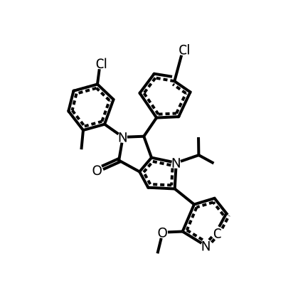 COc1ncccc1-c1cc2c(n1C(C)C)C(c1ccc(Cl)cc1)N(c1cc(Cl)ccc1C)C2=O